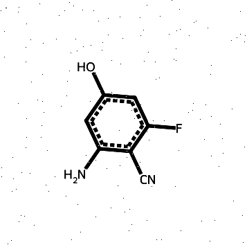 N#Cc1c(N)cc(O)cc1F